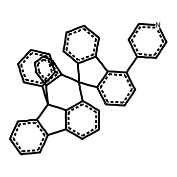 c1ccc(C23c4ccccc4-c4cccc(c42)C2(c4ccccc4-c4c(-c5ccncc5)cccc42)c2ccccc23)cc1